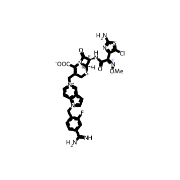 CO/N=C(\C(=O)N[C@@H]1C(=O)N2C(C(=O)[O-])=C(C[n+]3ccc4c(ccn4Cc4ccc(C(=N)N)cc4F)c3)CS[C@H]12)c1nc(N)sc1Cl